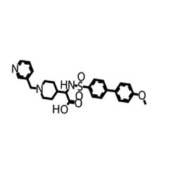 COc1ccc(-c2ccc(S(=O)(=O)NC(C(=O)O)C3CCN(Cc4cccnc4)CC3)cc2)cc1